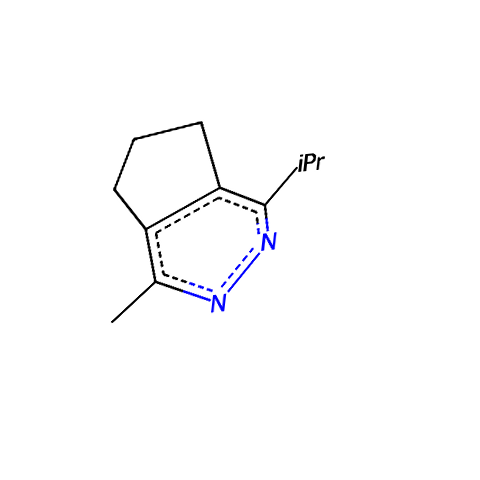 Cc1nnc(C(C)C)c2c1CCC2